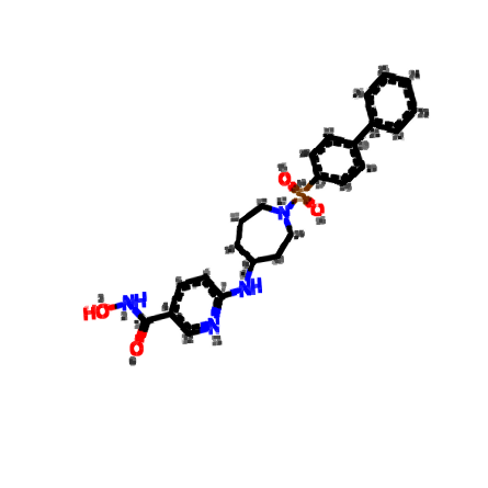 O=C(NO)c1ccc(NC2CCCN(S(=O)(=O)c3ccc(-c4ccccc4)cc3)CC2)nc1